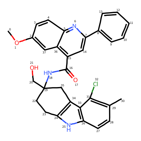 COc1ccc2nc(-c3ccccc3)cc(C(=O)NC3(CO)CCc4[nH]c5ccc(C)c(Cl)c5c4C3)c2c1